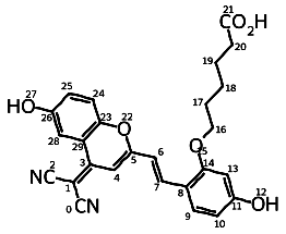 N#CC(C#N)=C1C=C(C=Cc2ccc(O)cc2OCCCCCC(=O)O)Oc2ccc(O)cc21